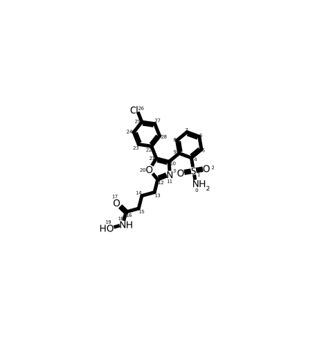 NS(=O)(=O)c1ccccc1-c1nc(CCCC(=O)NO)oc1-c1ccc(Cl)cc1